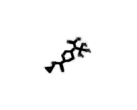 CC(C)(C)N(C(=O)O)C1CCC(C(=O)NC2CC2)OC1